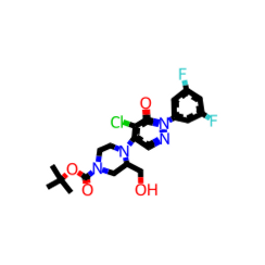 CC(C)(C)OC(=O)N1CCN(c2cnn(-c3cc(F)cc(F)c3)c(=O)c2Cl)C(CO)C1